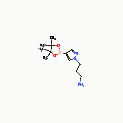 CC1(C)OB(c2cnn(CCCN)c2)OC1(C)C